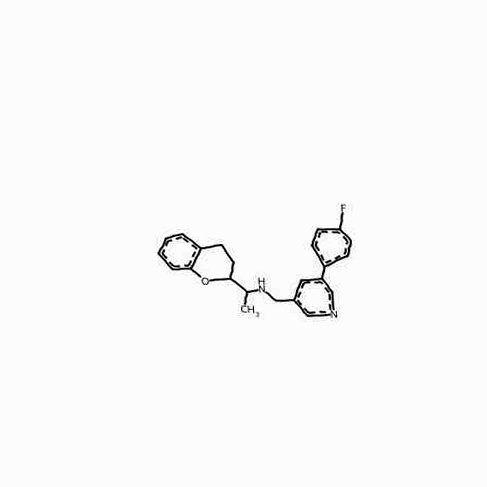 CC(NCc1cncc(-c2ccc(F)cc2)c1)C1CCc2ccccc2O1